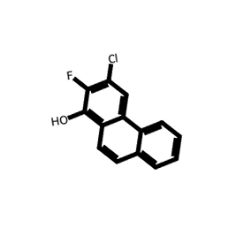 Oc1c(F)c(Cl)cc2c1ccc1ccccc12